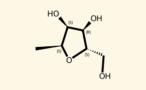 C[C@@H]1O[C@@H](CO)[C@H](O)[C@@H]1O